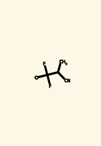 CC(C#N)C([O])(F)F